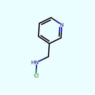 ClNCc1cccnc1